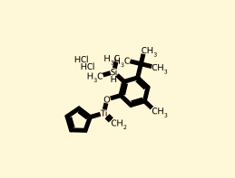 Cl.Cl.[CH2]=[Ti]([O]c1cc(C)cc(C(C)(C)C)c1[SiH](C)C)[C]1=CC=CC1